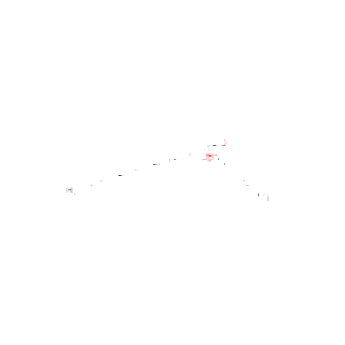 CCCCCCCCCCCCCCCCCCCCCCCCCCOCC(O)CN(CCO)C(=O)CCCCCCCCCCCCCCC